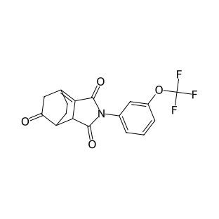 O=C1CC2=C3C(=O)N(c4cccc(OC(F)(F)F)c4)C(=O)C3C1CC2